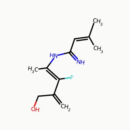 C=C(CO)/C(F)=C(\C)NC(=N)C=C(C)C